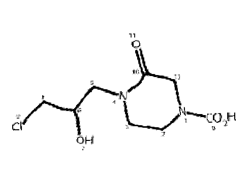 O=C(O)N1CCN(CC(O)CCl)C(=O)C1